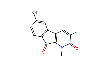 Cn1c2c(cc(F)c1=O)-c1cc(C#N)ccc1C2=O